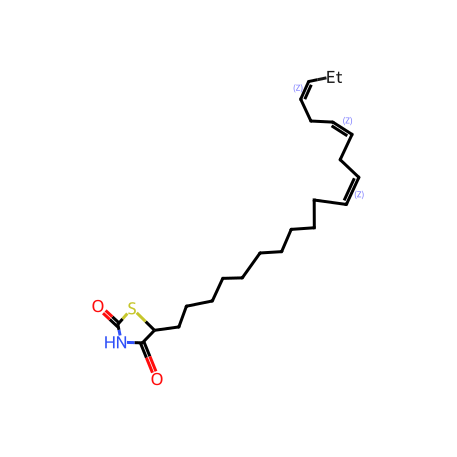 CC/C=C\C/C=C\C/C=C\CCCCCCCCCCC1SC(=O)NC1=O